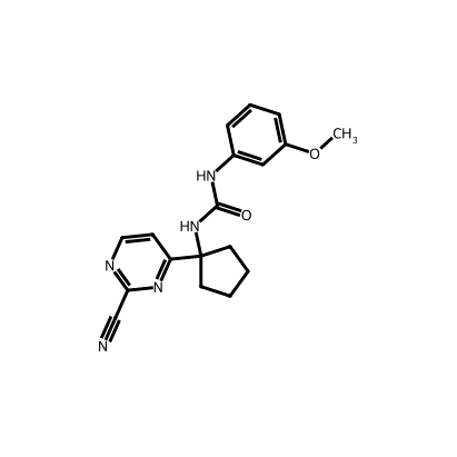 COc1cccc(NC(=O)NC2(c3ccnc(C#N)n3)CCCC2)c1